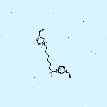 C=Cn1cc[n+](CCCCCC[C@@H](C)[n+]2ccn(C=C)c2)c1